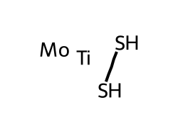 SS.[Mo].[Ti]